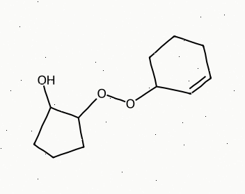 OC1CCCC1OOC1C=CCCC1